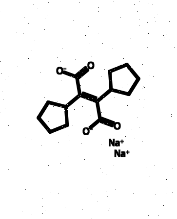 O=C([O-])C(=C(C(=O)[O-])C1CCCC1)C1CCCC1.[Na+].[Na+]